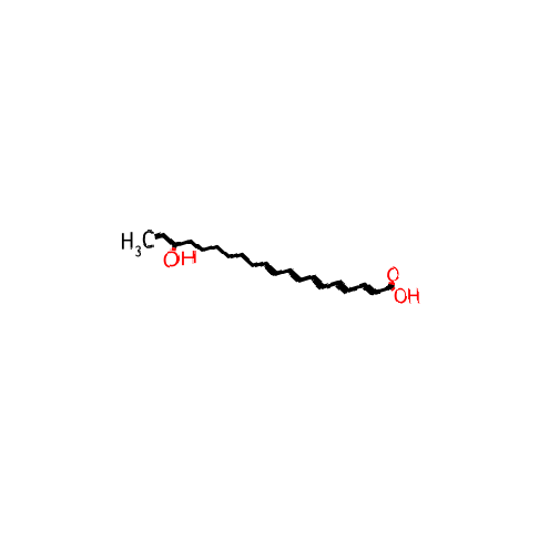 CCC(O)CCCCCCC=CC=CC=CC=CC=CC(=O)O